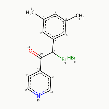 Br.Cc1cc(C)cc(C(Br)C(=O)c2ccncc2)c1